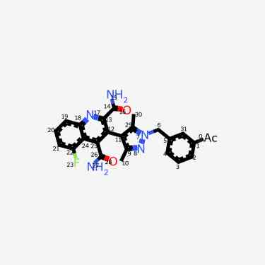 CC(=O)c1cccc(Cn2nc(C)c(-c3c(C(N)=O)nc4cccc(F)c4c3C(N)=O)c2C)c1